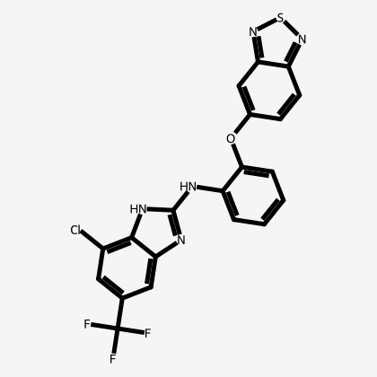 FC(F)(F)c1cc(Cl)c2[nH]c(Nc3ccccc3Oc3ccc4nsnc4c3)nc2c1